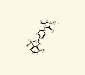 Cc1cccc(C(F)(F)F)c1COc1ccc(N2C(=O)CN(C)C2=O)cc1